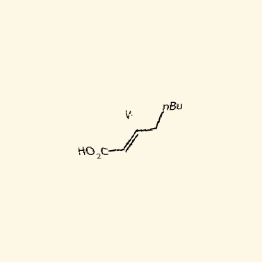 CCCCCC=CC(=O)O.[V]